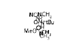 COc1cc(C(=O)N(NCC(C)(C)C)c2cc(C)nc(C#N)n2)ccc1CN(C)C